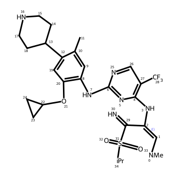 CN/C=C(/Nc1nc(Nc2cc(C)c(C3CCNCC3)cc2OC2CC2)ncc1C(F)(F)F)C(=N)S(=O)(=O)C(C)C